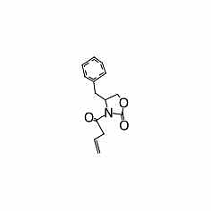 C=CCC(=O)N1C(=O)OCC1Cc1ccccc1